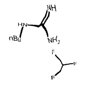 CCCCNC(=N)N.FC(F)F